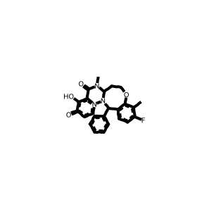 Cc1c(F)ccc2c1OCCC1N(C)C(=O)c3c(O)c(=O)ccn3N1C2c1ccccc1